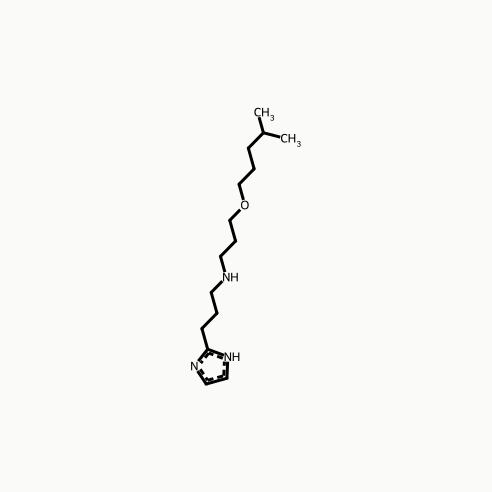 CC(C)CCCOCCCNCCCc1ncc[nH]1